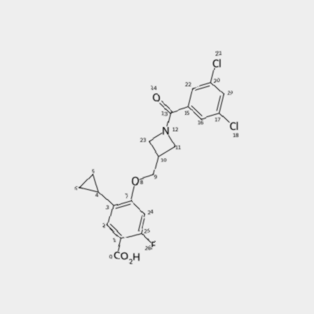 O=C(O)c1cc(C2CC2)c(OCC2CN(C(=O)c3cc(Cl)cc(Cl)c3)C2)cc1F